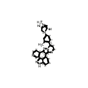 Cc1cc(N2C[C@@H]3C[C@H]2CN3C)ccc1-c1ccnc2c(-c3cccc4[nH]ncc34)c(-c3ccncc3)nn12